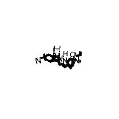 CCC(=O)N(C)c1ccc2cc(Cc3n[nH]c4c3CCC(C)(C#N)C4)[nH]c2c1